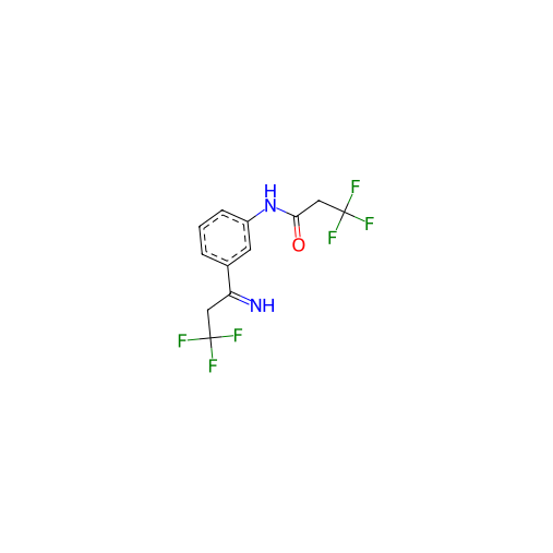 N=C(CC(F)(F)F)c1cccc(NC(=O)CC(F)(F)F)c1